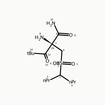 CCCC(CCC)S(=O)(=O)C[C@@](N)(C(N)=O)C(=O)C(C)(C)C